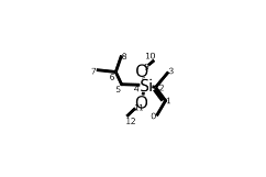 CC=C(C)[Si](CC(C)C)(OC)OC